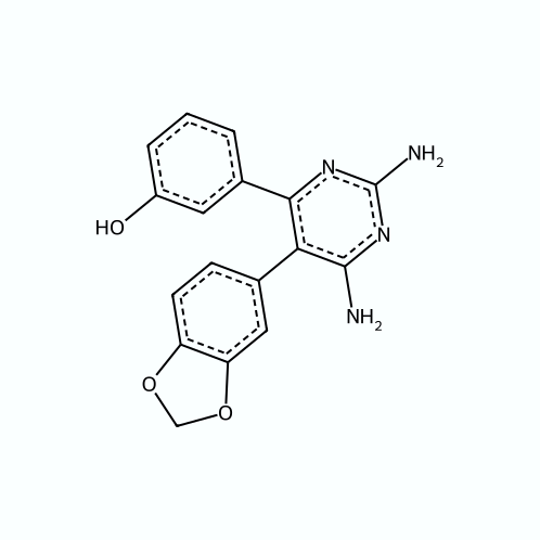 Nc1nc(N)c(-c2ccc3c(c2)OCO3)c(-c2cccc(O)c2)n1